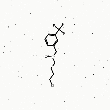 [O-][S+](CCCCCl)Cc1cccc(C(F)(F)F)c1